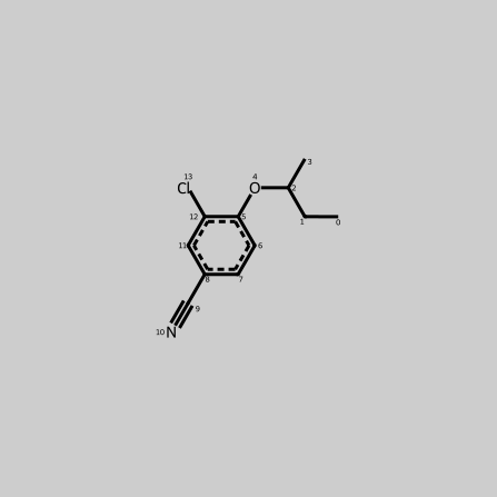 CCC(C)Oc1ccc(C#N)cc1Cl